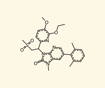 CCOc1nc(C(CS(C)(=O)=O)n2c(=O)n(C)c3cc(-c4c(C)cccc4C)cnc32)ccc1OC